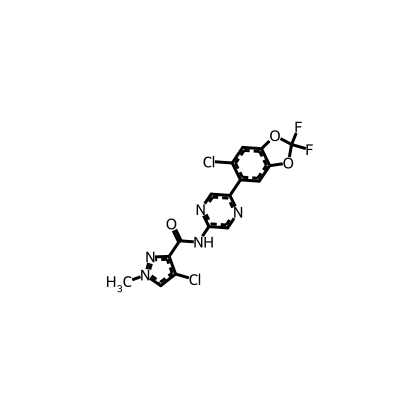 Cn1cc(Cl)c(C(=O)Nc2cnc(-c3cc4c(cc3Cl)OC(F)(F)O4)cn2)n1